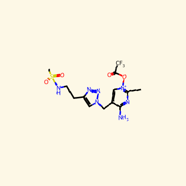 Cc1nc(N)c(Cn2cc(CCNS(C)(=O)=O)nn2)c[n+]1OC(=O)C(F)(F)F